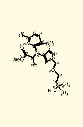 CCC(C(=O)OC)N(c1cnn(COCC[Si](C)(C)C)c1)c1nc(Cl)ncc1[N+](=O)[O-]